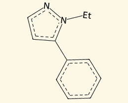 CCn1nccc1-c1ccccc1